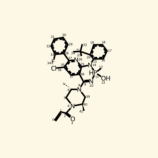 C=CC(=O)N1C[C@H](C)N(C2=N[PH](C)(O)N(c3ccccc3C(C)(C)C)c3nc(-c4ccccc4F)c(Cl)cc32)C[C@H]1C